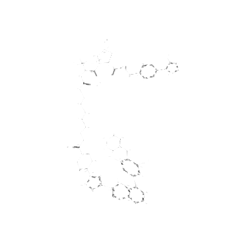 Cc1ncsc1-c1ccc(CNC(=O)[C@@H]2C[C@@H](O)CN2C(=O)C(NC(=O)CCCCCCCCC(=O)N2CCC(n3cc(-c4cnc5cccc(-c6cc(F)c(CN7CCOCC7)c(F)c6)c5n4)cn3)CC2)C(C)(C)C)cc1